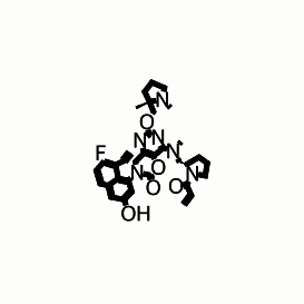 C#Cc1c(F)ccc2cc(O)cc(N3Cc4nc(OC[C@]5(C)CCCN5C)nc(N(C)C[C@@H]5CCCN5C(=O)C=C)c4OC3=O)c12